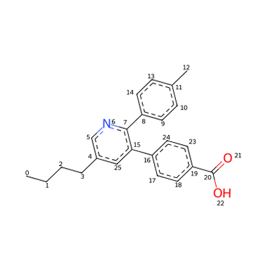 CCCCc1cnc(-c2ccc(C)cc2)c(-c2ccc(C(=O)O)cc2)c1